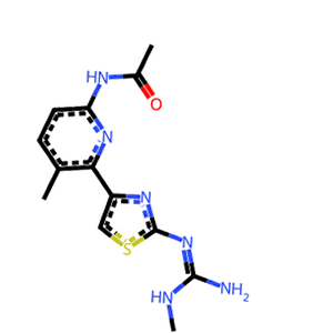 CNC(N)=Nc1nc(-c2nc(NC(C)=O)ccc2C)cs1